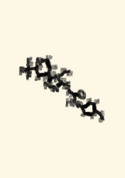 CCc1ccc(NC(=O)CSc2nnc(-c3ccnc(C(F)(F)F)c3)n2CC)cc1